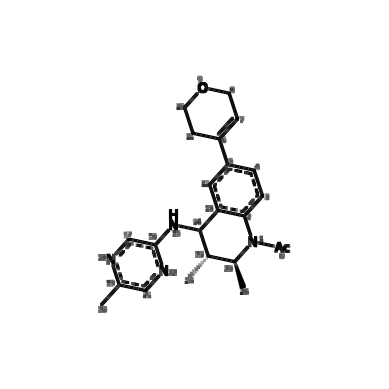 CC(=O)N1c2ccc(C3=CCOCC3)cc2C(Nc2cnc(C)cn2)[C@@H](C)[C@@H]1C